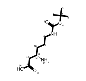 CC(C)(C)OC(=O)NCCC[C@H](N)CC(=O)O